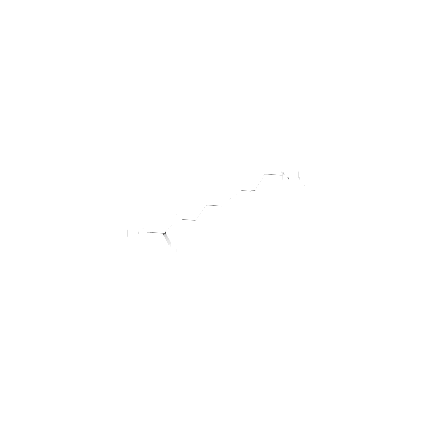 NCCSSCCOC(=O)O